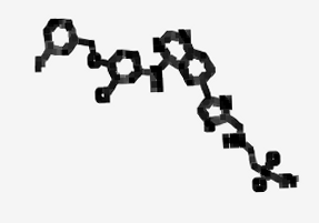 CC(C)S(=O)(=O)CCNCc1nc(-c2ccc3ncnc(Nc4ccc(OCc5cccc(F)c5)c(Cl)c4)c3c2)cs1